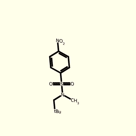 CN(CC(C)(C)C)S(=O)(=O)c1ccc([N+](=O)[O-])cc1